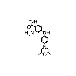 CNC(=O)c1ccc(Nc2ccc(N3CC(C)OC(C)C3)cc2)cc1N